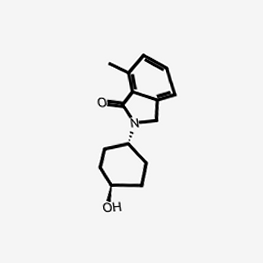 Cc1cccc2c1C(=O)N([C@H]1CC[C@H](O)CC1)C2